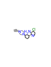 CC(C)(C)N1CCN(c2cccc(-c3nccc(Cl)c3N)c2)CC1